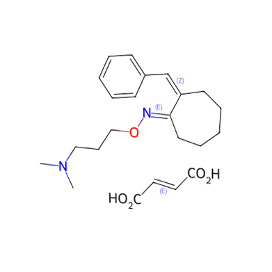 CN(C)CCCO/N=C1\CCCCC\C1=C\c1ccccc1.O=C(O)/C=C/C(=O)O